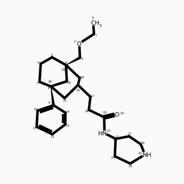 CCOC[C@@]12CCC[C@@](c3ccccc3)(CC(CCC(=O)NC3CCNCC3)C1)C2